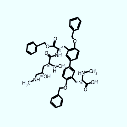 CNC[C@H](O)C[C@H](NC)C(=O)N[C@@H](Cc1cc(-c2ccc(OCc3ccccc3)c(C[C@H](NC)C(=O)O)c2)ccc1OCc1ccccc1)C(=O)OCc1ccccc1